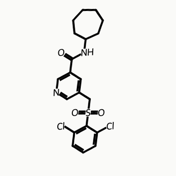 O=C(NC1CCCCCC1)c1cncc(CS(=O)(=O)c2c(Cl)cccc2Cl)c1